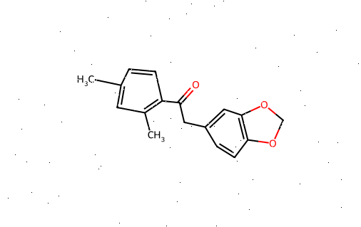 Cc1ccc(C(=O)Cc2ccc3c(c2)OCO3)c(C)c1